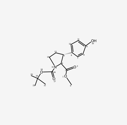 COC(=O)C1[C@@H](c2ccc(O)cc2)CCN1C(=O)OC(C)(C)C